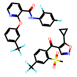 CS(=O)(=O)c1cc(C(F)(F)F)ccc1C(=O)c1cnoc1C1CC1.O=C(Nc1ccc(F)cc1F)c1cccnc1Oc1cccc(C(F)(F)F)c1